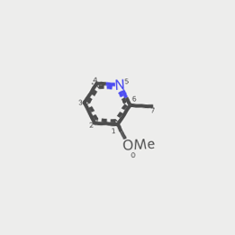 COc1cc[c]nc1C